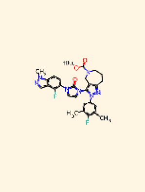 Cc1cc(-n2nc3c(c2-n2ccn(-c4ccc5c(cnn5C)c4F)c2=O)CN(C(=O)OC(C)(C)C)CCC3)cc(C)c1F